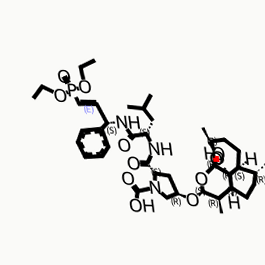 CCOP(=O)(/C=C/[C@H](NC(=O)[C@H](CC(C)C)NC(=O)[C@@H]1C[C@@H](O[C@H]2O[C@@H]3O[C@@]4(C)CC[C@H]5[C@H](C)CC[C@@H]([C@H]2C)[C@@]35OO4)CN1C(=O)O)c1ccccc1)OCC